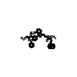 C=CC(=O)Nc1cc(-c2nn(CCNC(=O)[C@H](C)CCC34CC5CC(CC(C5)C3)C4)c3ncnc(N)c23)ccc1Oc1ccccc1